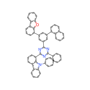 c1ccc(-c2nc(-c3cc(-c4cccc5ccccc45)cc(-c4cccc5c4oc4ccccc45)c3)nc(-c3cccc4c5ccccc5n(-c5ccccc5)c34)n2)cc1